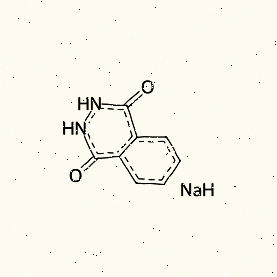 O=c1[nH][nH]c(=O)c2ccccc12.[NaH]